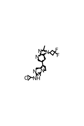 Cc1nc2ncc(-c3ccn4nc(NC5COC5)ncc34)cc2n1C1CC(F)(F)C1